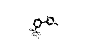 Cn1cnc(-c2cccc(S(N)(=O)=O)c2)c1